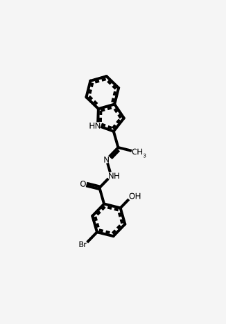 C/C(=N\NC(=O)c1cc(Br)ccc1O)c1cc2ccccc2[nH]1